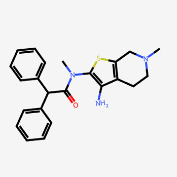 CN1CCc2c(sc(N(C)C(=O)C(c3ccccc3)c3ccccc3)c2N)C1